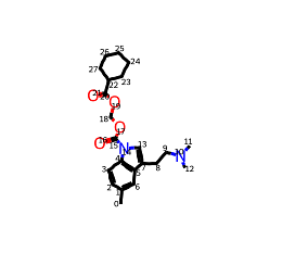 Cc1ccc2c(c1)c(CCN(C)C)cn2C(=O)OCOC(=O)C1CCCCC1